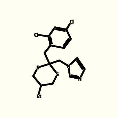 CCC1CSC(Cc2ccc(Cl)cc2Cl)(Cn2ccnc2)SC1